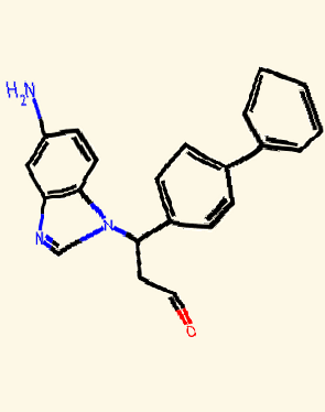 Nc1ccc2c(c1)ncn2C(CC=O)c1ccc(-c2ccccc2)cc1